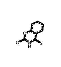 O=c1[nH]c(=S)c2ccccc2o1